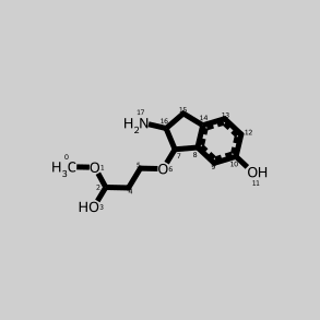 COC(O)CCOC1c2cc(O)ccc2CC1N